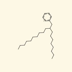 CCCCCCCCCCC(CCCCCCCC)Cc1[c]cccc1